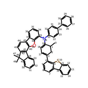 CC1CC(c2cccc3c2sc2ccccc23)=CC=C1N(c1ccc(-c2ccccc2)cc1)c1cccc2c1oc1c3c(ccc12)C(C)(C)c1ccccc1-3